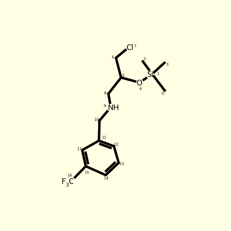 C[Si](C)(C)OC(CCl)CNCc1cccc(C(F)(F)F)c1